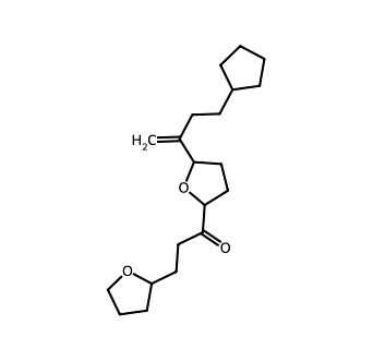 C=C(CCC1CCCC1)C1CCC(C(=O)CCC2CCCO2)O1